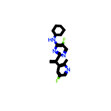 C=C(c1ncc(F)c(NC2CCCCC2)n1)c1cc(F)cnc1C